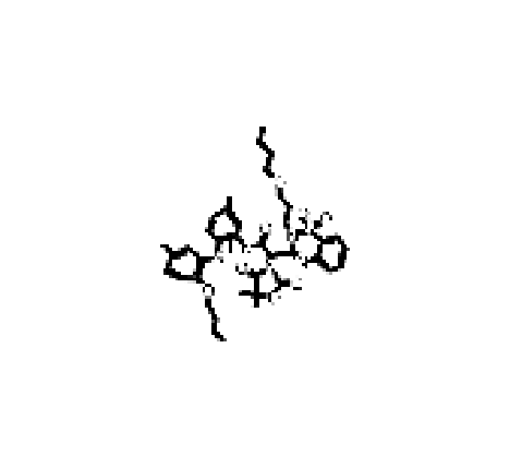 CCCCOCCCN1C(C(C(=O)Nc2cc(C)ccc2Sc2cc(C)ccc2OCCCC)N2C(=O)OC(C)(C)C2=O)=Nc2ccccc2S1(=O)=O